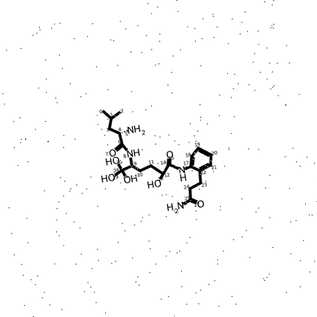 CC(C)C[C@H](N)C(=O)NC(CCC(O)C(=O)Nc1ccccc1CCC(N)=O)C(O)(O)O